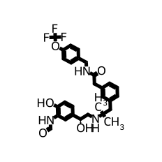 CC(C)(Cc1cccc(CC(=O)NCc2ccc(OC(F)(F)F)cc2)c1)NC[C@H](O)c1ccc(O)c(NC=O)c1